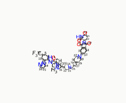 CC(C)(C(=O)Nc1ccc(C(F)(F)F)cc1-n1cccn1)n1cc(C2CCN(CC3CC4(CCN(c5ccc6c(c5)C(=O)N(C5CCC(=O)NC5=O)C6=O)CC4)C3)CC2)cn1